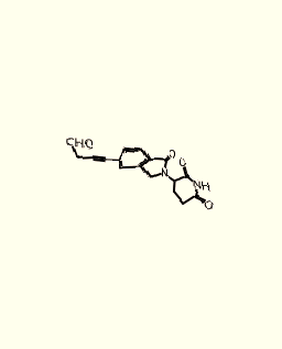 O=CCC#Cc1ccc2c(c1)CN(C1CCC(=O)NC1=O)C2=O